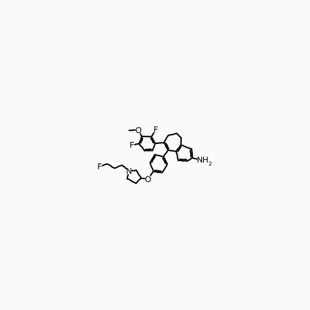 COc1c(F)ccc(C2=C(c3ccc(OC4CCN(CCCF)C4)cc3)c3ccc(N)cc3CCC2)c1F